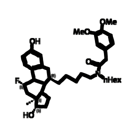 CCCCCCN(CCCCC[C@@H]1Cc2cc(O)ccc2C2C1C1CC[C@H](O)[C@@]1(C)C[C@@H]2F)C(=O)Cc1ccc(OC)c(OC)c1